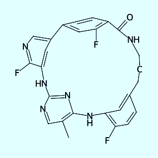 Cc1cnc2nc1Nc1cc(ccc1F)CCCNC(=O)c1ccc(cc1F)-c1cnc(F)c(c1)N2